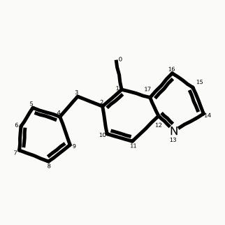 Cc1c(Cc2ccccc2)ccc2ncccc12